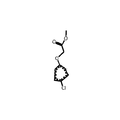 COC(=O)COc1[c]cc(Cl)cc1